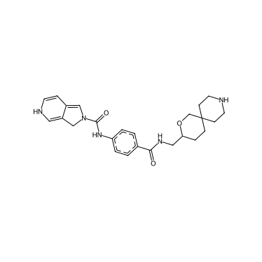 O=C(NCC1CCC2(CCNCC2)CO1)c1ccc(NC(=O)N2C=C3C=CNC=C3C2)cc1